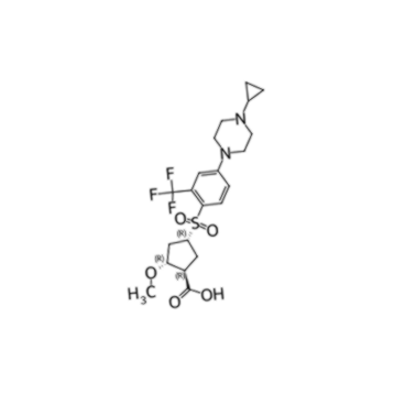 CO[C@@H]1C[C@H](S(=O)(=O)c2ccc(N3CCN(C4CC4)CC3)cc2C(F)(F)F)C[C@H]1C(=O)O